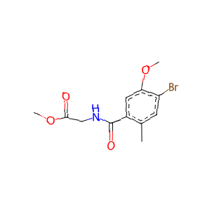 COC(=O)CNC(=O)c1cc(OC)c(Br)cc1C